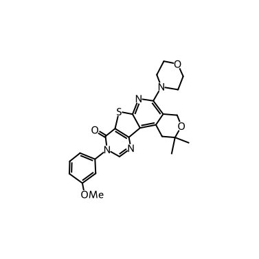 COc1cccc(-n2cnc3c(sc4nc(N5CCOCC5)c5c(c43)CC(C)(C)OC5)c2=O)c1